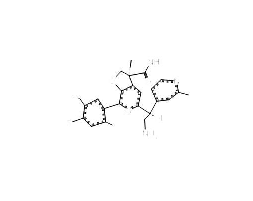 Cc1cc([C@](O)(CN)c2cc3c(c(-c4cc(Cl)c(F)cc4F)n2)OC[C@]3(C)C(N)=O)ccn1